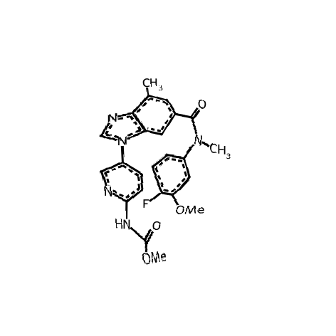 COC(=O)Nc1ccc(-n2cnc3c(C)cc(C(=O)N(C)c4ccc(F)c(OC)c4)cc32)cn1